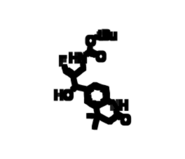 CC(C)(C)OC(=O)NC/C(=C\F)C(O)c1ccc2c(c1)C(C)(C)CC(=O)N2